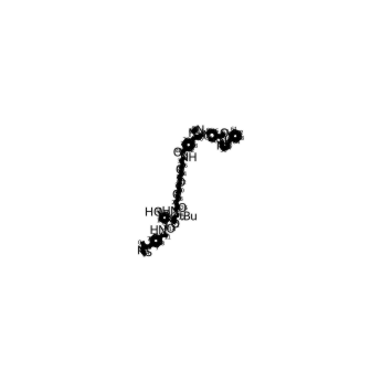 Cc1ncsc1-c1ccc(C(C)NC(=O)[C@@H]2C[C@@H](O)CN2C(=O)C(NC(=O)CCOCCOCCOCCNC(=O)c2ccc(-c3cc(N4CCC(C(=O)N5N=CCC5c5ccccc5)CC4)ncn3)cc2)C(C)(C)C)cc1